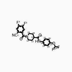 N#Cc1cc(F)c(F)cc1C(=O)N1CCC(C(=O)Nc2ccc(OC(F)F)cc2)CC1